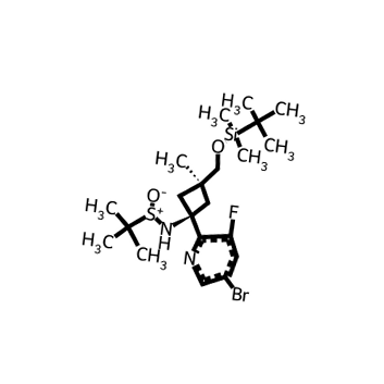 CC(C)(C)[S+]([O-])N[C@]1(c2ncc(Br)cc2F)C[C@](C)(CO[Si](C)(C)C(C)(C)C)C1